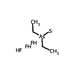 CC[As]([S])CC.F.F.F